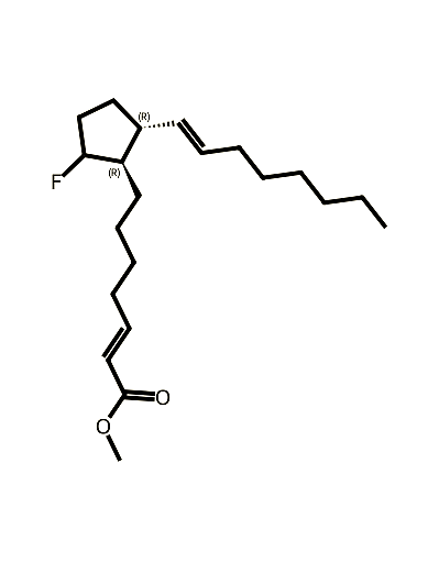 CCCCCCC=C[C@H]1CCC(F)[C@@H]1CCCCC=CC(=O)OC